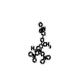 Cc1cc(-n2c3ccc(N(c4ccccc4)c4ccccc4)cc3c3cc(N(c4ccccc4)c4ccccc4)ccc32)c(C)cc1-c1ccc(-c2ccc3nc(-c4ccccc4)oc3c2)cc1